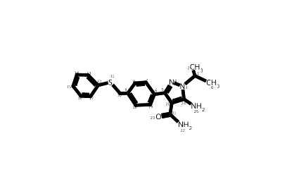 CC(C)n1nc(-c2ccc(CSc3ccccc3)cc2)c(C(N)=O)c1N